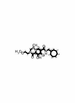 COCCN1CN(C)n2cc(C(=O)NCC3CCCCCC3)c(=O)c(O)c2C1=O